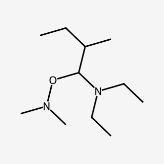 CCC(C)C(ON(C)C)N(CC)CC